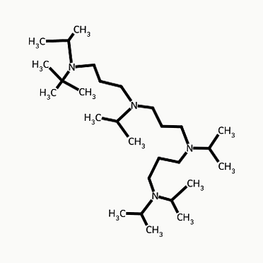 CC(C)N(CCCN(CCCN(C(C)C)C(C)(C)C)C(C)C)CCCN(C(C)C)C(C)C